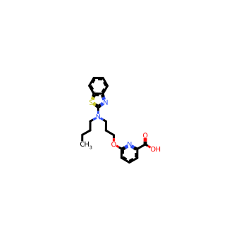 CCCCN(CCCOc1cccc(C(=O)O)n1)c1nc2ccccc2s1